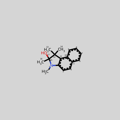 CN1c2ccc3ccccc3c2C(C)(C)C1(C)O